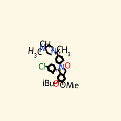 CCC(C)Oc1cc2c(cc1OC)CC(=O)N(c1ccc([C@H](C)N3CCC(N(C)C)CC3)cc1)[C@H]2c1ccc(Cl)cc1